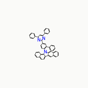 c1ccc(-c2cc(-c3ccccc3)nc(-c3ccc(-n4c5cc6ccccc6cc5c5ccc6ccccc6c54)c(-c4ccccc4)c3)n2)cc1